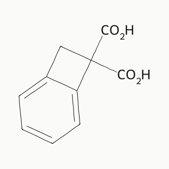 O=C(O)C1(C(=O)O)Cc2ccccc21